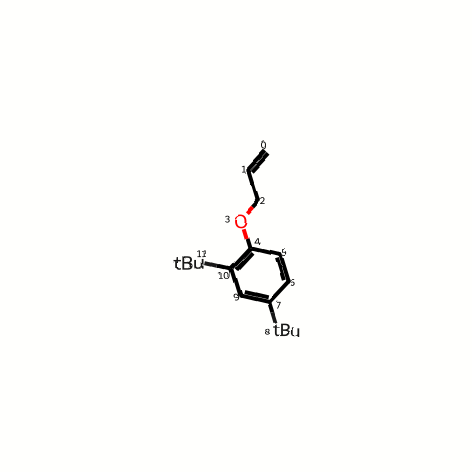 C=CCOc1ccc(C(C)(C)C)cc1C(C)(C)C